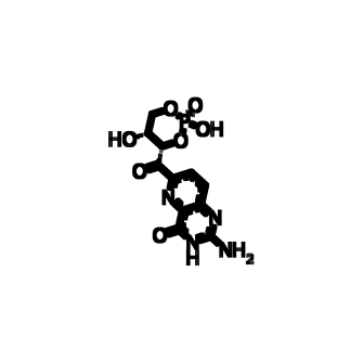 Nc1nc2ccc(C(=O)[C@H]3OP(=O)(O)OC[C@H]3O)nc2c(=O)[nH]1